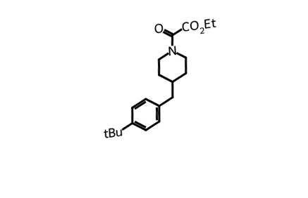 CCOC(=O)C(=O)N1CCC(Cc2ccc(C(C)(C)C)cc2)CC1